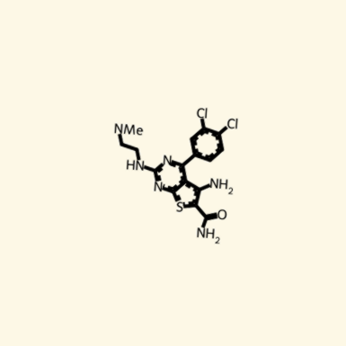 CNCCNc1nc(-c2ccc(Cl)c(Cl)c2)c2c(N)c(C(N)=O)sc2n1